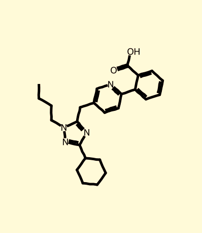 CCCCn1nc(C2CCCCC2)nc1Cc1ccc(-c2ccccc2C(=O)O)nc1